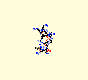 C[C@H](N)C(=O)N[C@H](C(=O)N[C@H](C(=O)NCC(=O)N[C@H](CCCN)C(=O)N1CCC[C@H]1C(=O)N[C@@H](Cc1cnc[nH]1)C(=O)N[C@@H](CCCCN)C(=O)CC/C(=C\CCNC(=N)N)C(=O)N[C@@H](CCCCN)C(=O)NCCCCN)[C@@H](O)CN)[C@@H](O)CN